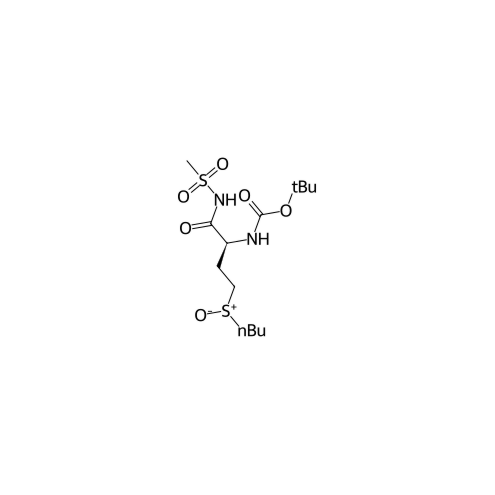 CCCC[S+]([O-])CC[C@H](NC(=O)OC(C)(C)C)C(=O)NS(C)(=O)=O